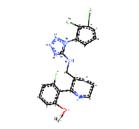 COc1cccc(F)c1-c1ncccc1CNc1nnnn1-c1cccc(Cl)c1Cl